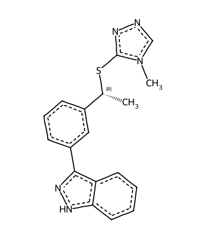 C[C@@H](Sc1nncn1C)c1cccc(-c2n[nH]c3ccccc23)c1